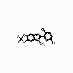 Cn1c(-c2nc(Cl)ccc2Cl)nc2cc3c(cc21)OC(F)(F)O3